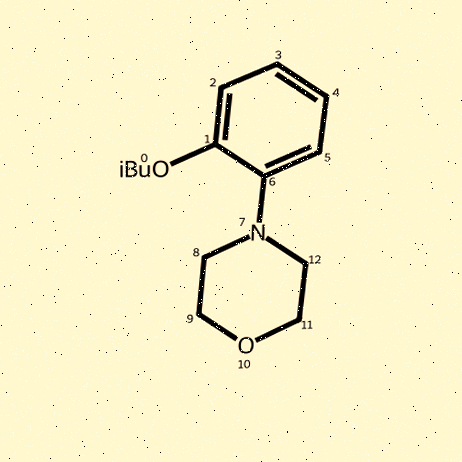 CC(C)COc1ccccc1N1CCOCC1